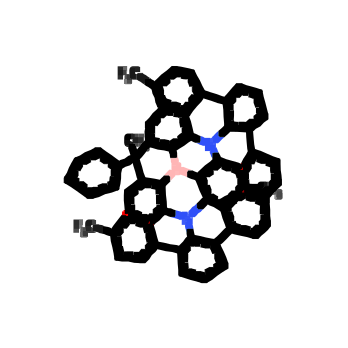 Cc1cc2c3c(c1)N(c1c(-c4ccccc4)cccc1-c1ccc(C(F)(F)F)cc1)c1cccc4c1B3c1c(cccc1C4(C)c1ccccc1)N2c1c(-c2ccccc2)cccc1-c1ccc(C(F)(F)F)cc1